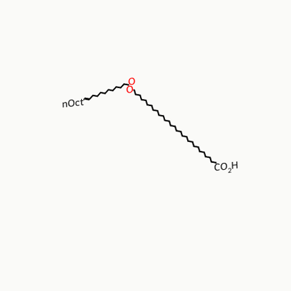 CCCCCCCCC=CCCCCCCCCCC(=O)OCCCCCCCCCCCCCCCCCCCCCCCCCCCCCC(=O)O